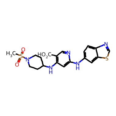 CS(=O)(=O)N1CCC(Nc2cc(Nc3ccc4ncsc4c3)ncc2C(=O)O)CC1